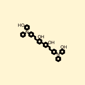 Oc1cccc(N(c2ccccc2)c2ccc(C=Cc3ccc(-c4ccc(C=Cc5ccc(N(c6ccccc6)c6cccc(O)c6)cc5)c(O)c4)cc3O)cc2)c1